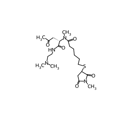 CC(=O)C[C@@H](C(=O)NCCN(C)C)N(C)C(=O)CCCCCSC1CC(=O)N(C)C1=O